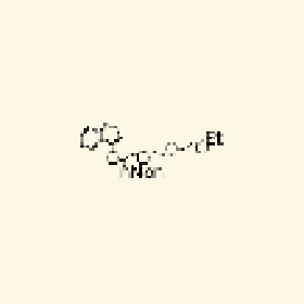 CCCCCCCCCC(COCCOCCOCC)Oc1cccc2ccccc12